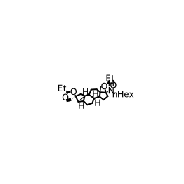 C#C[C@@]1(OC(=O)CC)C[C@@H]2CC[C@@H]3[C@H](CC[C@@]4(C)[C@H]3CC[C@]4(NCCCCCC)OC(=O)CC)[C@@]2(C)C1